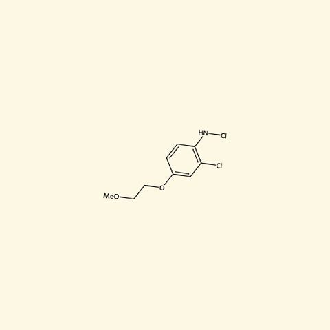 COCCOc1ccc(NCl)c(Cl)c1